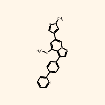 COc1cc(-c2cnn(C)c2)cn2ncc(-c3ccc(-c4ccccn4)cc3)c12